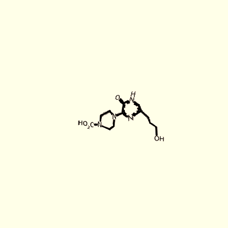 O=C(O)N1CCN(c2nc(CCCO)c[nH]c2=O)CC1